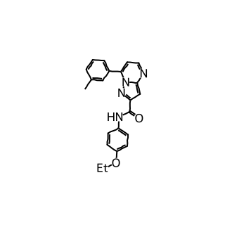 CCOc1ccc(NC(=O)c2cc3nccc(-c4cccc(C)c4)n3n2)cc1